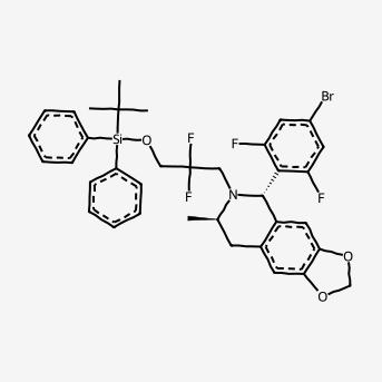 C[C@@H]1Cc2cc3c(cc2[C@@H](c2c(F)cc(Br)cc2F)N1CC(F)(F)CO[Si](c1ccccc1)(c1ccccc1)C(C)(C)C)OCO3